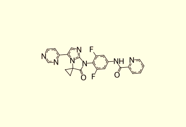 O=C(Nc1cc(F)c(N2C(=O)C3(CC3)n3c(-c4ccncn4)cnc32)c(F)c1)c1ccccn1